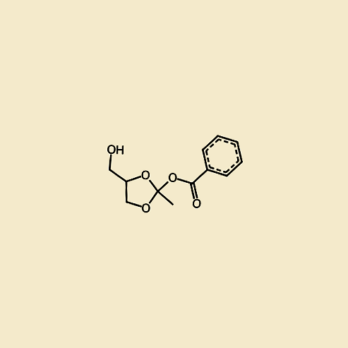 CC1(OC(=O)c2ccccc2)OCC(CO)O1